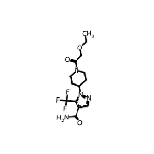 CCOCC(=O)N1CCC(n2ncc(C(N)=O)c2C(F)(F)F)CC1